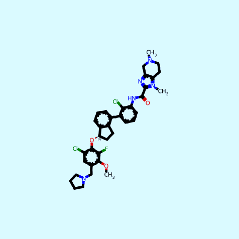 COc1c(CN2CCCC2)cc(Cl)c(O[C@H]2CCc3c(-c4cccc(NC(=O)c5nc6c(n5C)CCN(C)C6)c4Cl)cccc32)c1F